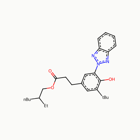 CCCCC(CC)COC(=O)CCc1cc(-n2nc3ccccc3n2)c(O)c(C(C)(C)C)c1